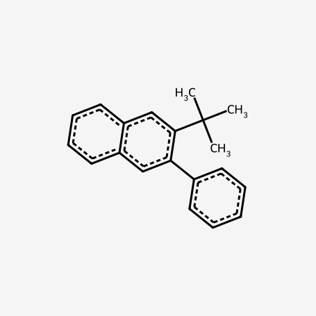 CC(C)(C)c1cc2ccccc2cc1-c1ccccc1